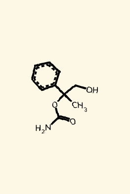 CC(CO)(OC(N)=O)c1ccccc1